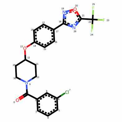 O=C(c1cccc(Cl)c1)N1CCC(Oc2ccc(-c3noc(C(F)(F)F)n3)cc2)CC1